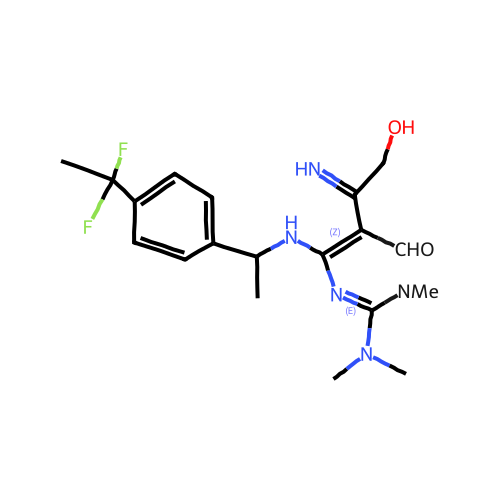 CN/C(=N\C(NC(C)c1ccc(C(C)(F)F)cc1)=C(/C=O)C(=N)CO)N(C)C